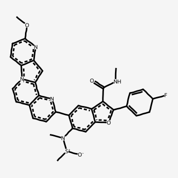 CNC(=O)c1c(C2=CCC(F)C=C2)oc2cc(N(C)[S+](C)[O-])c(-c3ccc4ccn5c6ccc(OC)nc6cc5c4n3)cc12